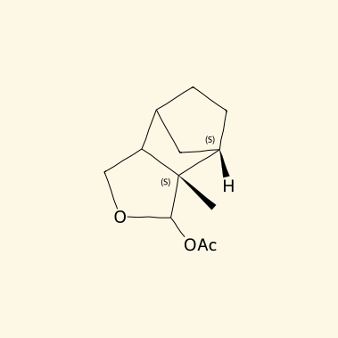 CC(=O)OC1OCC2C3CC[C@@H](C3)[C@]12C